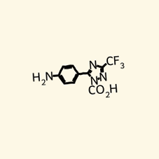 Nc1ccc(-c2nc(C(F)(F)F)nn2C(=O)O)cc1